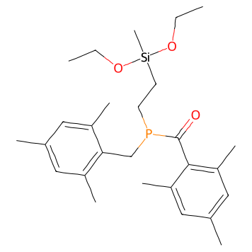 CCO[Si](C)(CCP(Cc1c(C)cc(C)cc1C)C(=O)c1c(C)cc(C)cc1C)OCC